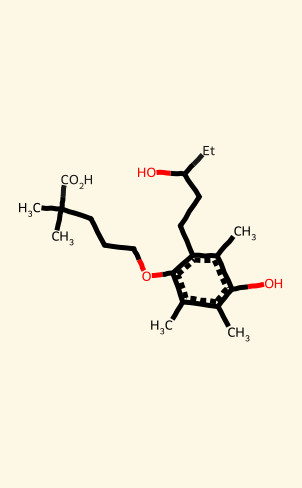 CCC(O)CCc1c(C)c(O)c(C)c(C)c1OCCCC(C)(C)C(=O)O